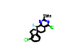 CSc1nc(Cl)c2c(n1)[C@@H](F)[C@]1(CCc3c(Cl)cccc31)CC2